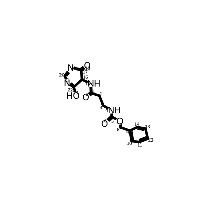 O=C(CCNC(=O)OCc1ccccc1)NC1C(=O)N=CN=C1O